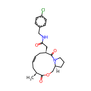 C[C@H]1C/C=C\C[C@@H](CC(=O)NCc2ccc(Cl)cc2)C(=O)N2CCC[C@H]2COC1=O